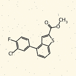 COC(=O)c1cc2c(-c3ccc(F)c(Cl)c3)cccc2s1